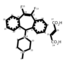 CN1CCN(C2c3ccccc3C(F)=C(F)c3ccccc32)CC1.O=C(O)C=CC(=O)O